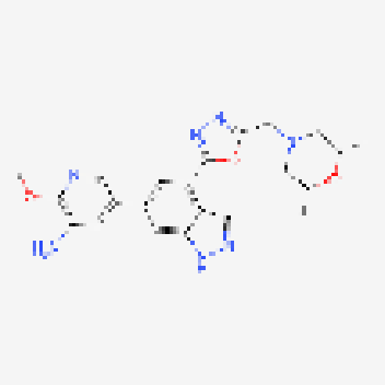 COc1ncc(-c2cc(-c3nnc(CN4C[C@@H](C)O[C@@H](C)C4)o3)c3cn[nH]c3c2)cc1N